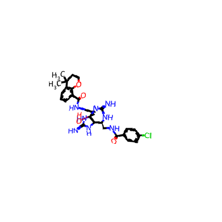 CC1(C)CCOc2c(C(=O)NC3CN4C(=N)N[C@@H](CNC(=O)c5ccc(Cl)cc5)C5NC(=N)NC54[C@@H]3O)cccc21